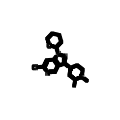 CC1CN(c2nn(C3CCCCO3)c3cc(Cl)ncc23)CCN1C